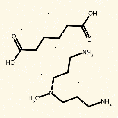 CN(CCCN)CCCN.O=C(O)CCCCC(=O)O